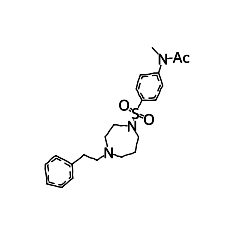 CC(=O)N(C)c1ccc(S(=O)(=O)N2CCCN(CCc3ccccc3)CC2)cc1